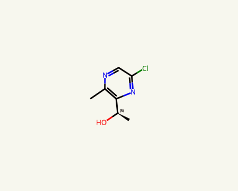 Cc1ncc(Cl)nc1[C@@H](C)O